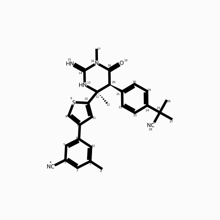 Cc1cc(C#N)cc(-c2csc([C@@]3(C)NC(=N)N(C)C(=O)[C@H]3c3ccc(C(C)(C)C#N)cc3)c2)c1